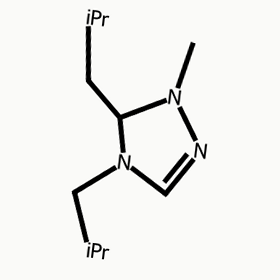 CC(C)CC1N(CC(C)C)C=NN1C